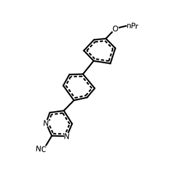 CCCOc1ccc(-c2ccc(-c3cnc(C#N)nc3)cc2)cc1